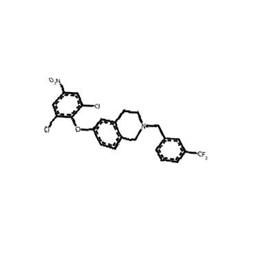 O=[N+]([O-])c1cc(Cl)c(Oc2ccc3c(c2)CCN(Cc2cccc(C(F)(F)F)c2)C3)c(Cl)c1